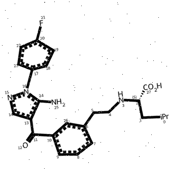 CC(C)C[C@H](NCCc1cccc(C(=O)c2cnn(-c3ccc(F)cc3)c2N)c1)C(=O)O